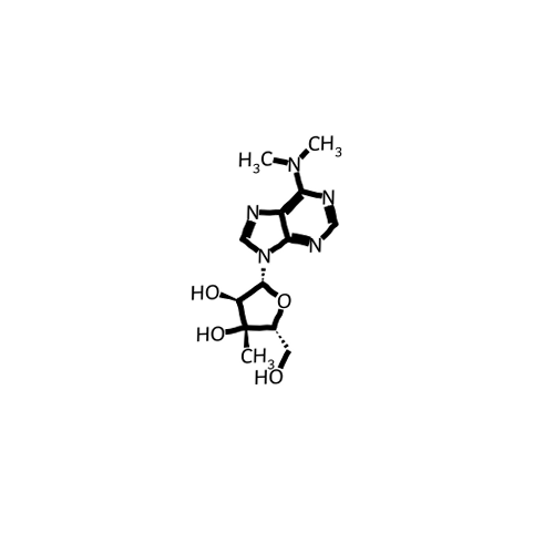 CN(C)c1ncnc2c1ncn2[C@@H]1O[C@H](CO)[C@](C)(O)[C@H]1O